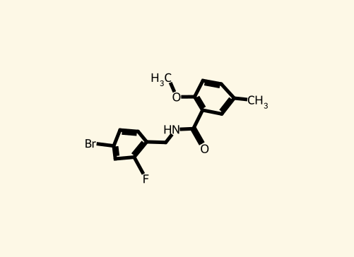 COc1ccc(C)cc1C(=O)NCc1ccc(Br)cc1F